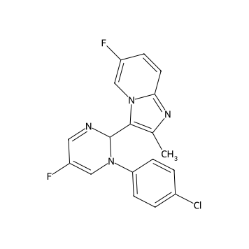 Cc1nc2ccc(F)cn2c1C1N=CC(F)=CN1c1ccc(Cl)cc1